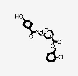 O=C(NC[C@@H]1CN(C(=O)OCc2ccccc2Cl)CCO1)c1ccc(O)cc1